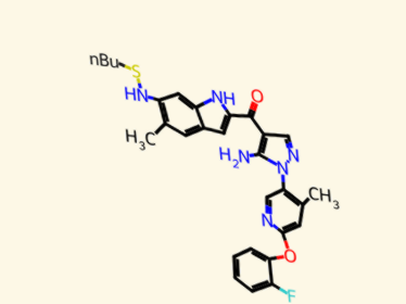 CCCCSNc1cc2[nH]c(C(=O)c3cnn(-c4cnc(Oc5ccccc5F)cc4C)c3N)cc2cc1C